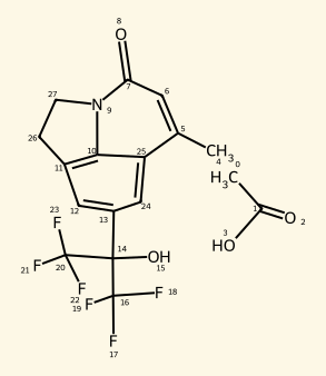 CC(=O)O.Cc1cc(=O)n2c3c(cc(C(O)(C(F)(F)F)C(F)(F)F)cc13)CC2